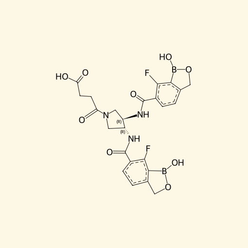 O=C(O)CCC(=O)N1C[C@@H](NC(=O)c2ccc3c(c2F)B(O)OC3)[C@H](NC(=O)c2ccc3c(c2F)B(O)OC3)C1